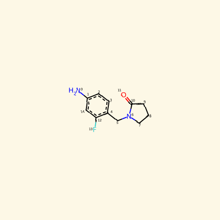 Nc1ccc(CN2CCCC2=O)c(F)c1